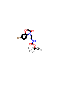 CC(C)(C)OC(=O)NCCN1C(=O)COc2cc(Br)ccc21